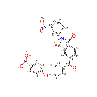 O=C(O)c1ccc(OC2=CCC(C(=O)c3ccc4c(c3)C(=O)N(c3cccc([N+](=O)[O-])c3)C4=O)C=C2)cc1